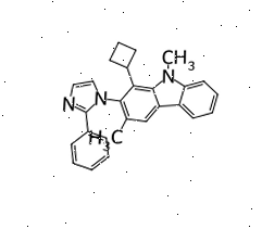 Cc1cc2c3ccccc3n(C)c2c(C2CCC2)c1-n1ccnc1-c1ccccc1